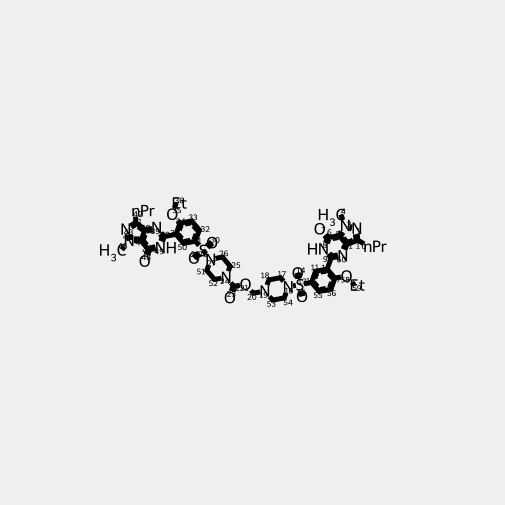 CCCc1nn(C)c2c(=O)[nH]c(-c3cc(S(=O)(=O)N4CCN(COC(=O)N5CCN(S(=O)(=O)c6ccc(OCC)c(-c7nc8c(CCC)nn(C)c8c(=O)[nH]7)c6)CC5)CC4)ccc3OCC)nc12